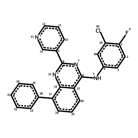 Fc1ccc(Nc2nc(-c3cccnc3)nc3c(-c4ccccc4)cccc23)cc1Cl